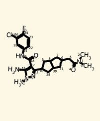 CN(C)C(=O)CC1CC2CC(c3nn(C)c(N)c3C(=O)Nc3ccc(F)c(Cl)c3)CC2C1